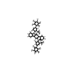 Cc1cc(-c2c(F)c(F)c(C)c(F)c2F)cc(C(F)(F)F)c1-n1c2ccccc2c2cc3c(cc21)c1ccccc1n3-c1c(C)cc(-c2c(F)c(F)c(F)c(F)c2F)cc1C(F)(F)F